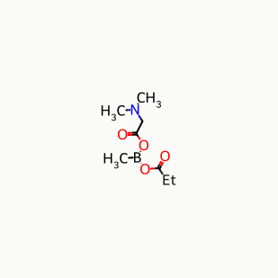 CCC(=O)OB(C)OC(=O)CN(C)C